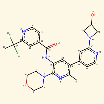 Cc1nc(N2CCOCC2)c(NC(=O)c2ccnc(C(C)(F)F)c2)cc1-c1ccnc(N2CC(O)C2)c1